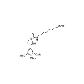 CCCCCCCCCCCCCCCCCCNC(=O)[C@@H]1CSC(c2cc(OC)c(OC)c(OC)c2)N1